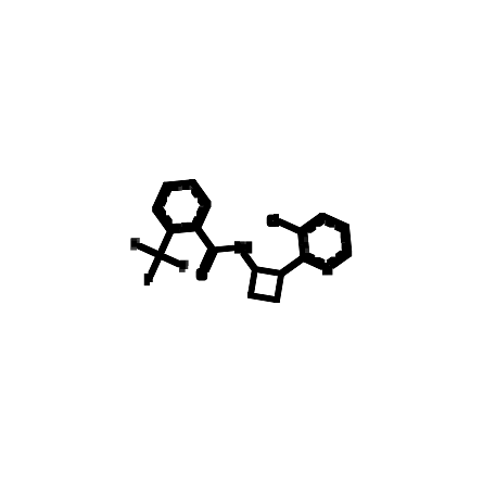 O=C(NC1CCC1c1ncccc1Cl)c1ccccc1C(F)(F)F